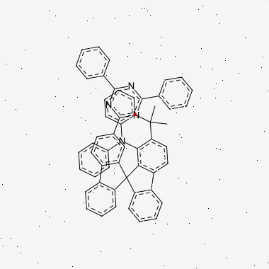 CC1(C)c2ccccc2N(c2ccccc2)c2c1ccc1c2C2(c3ccccc3-c3ccc(-c4nc(-c5ccccc5)nc(-c5ccccc5)n4)cc32)c2ccccc2-1